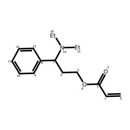 C=CC(=O)OCCC(c1ccccc1)N(CC)CC